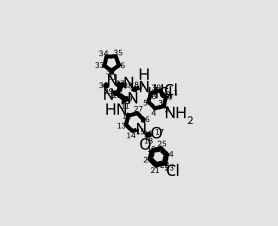 Cl.Cl.N[C@H]1CC[C@H](Nc2nc(NC3CCN(C(=O)Oc4ccc(Cl)cc4)CC3)c3ncn(C4CCCC4)c3n2)CC1